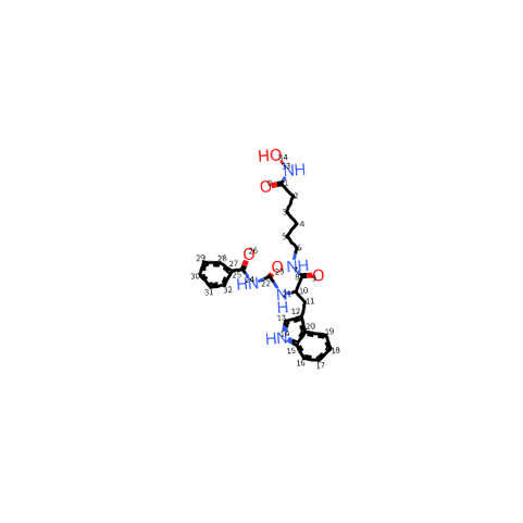 O=C(CCCCCNC(=O)C(Cc1c[nH]c2ccccc12)NC(=O)NC(=O)c1ccccc1)NO